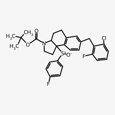 CC(C)(C)OC(=O)N1CCC2([S+]([O-])c3ccc(F)cc3)c3ccc(Cc4c(F)cccc4Cl)cc3CCC12